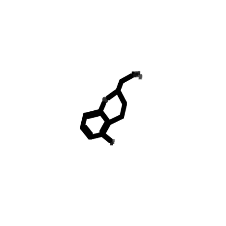 NCC1CCc2c(F)cccc2O1